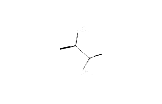 CCCCC(C)C(C)CCCC